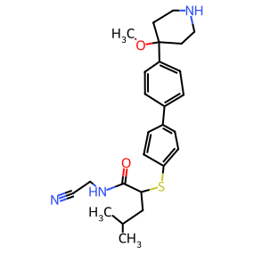 COC1(c2ccc(-c3ccc(SC(CC(C)C)C(=O)NCC#N)cc3)cc2)CCNCC1